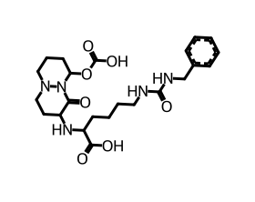 O=C(NCCCCC(NC1CCN2CCCC(OC(=O)O)N2C1=O)C(=O)O)NCc1ccccc1